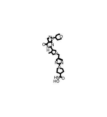 CC1CN(Cc2cnc(N3CCC(C(=O)NO)CC3)nc2)CC1c1nc2c(cnn2C2CCOCC2)c(=O)[nH]1